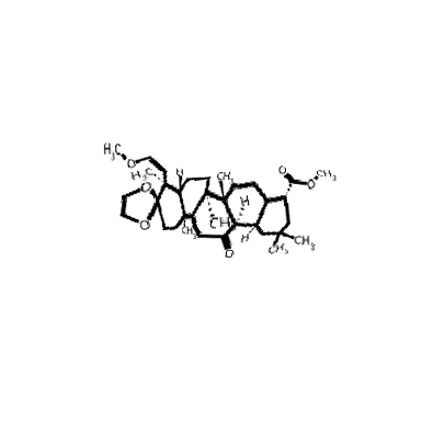 CO/C=C\[C@@]1(C)[C@@H]2CC[C@]3(C)C(=CC(=O)[C@@H]4[C@@H]5CC(C)(C)C[C@@H](C(=O)OC)C5CC[C@]43C)[C@@]2(C)CCC12OCCO2